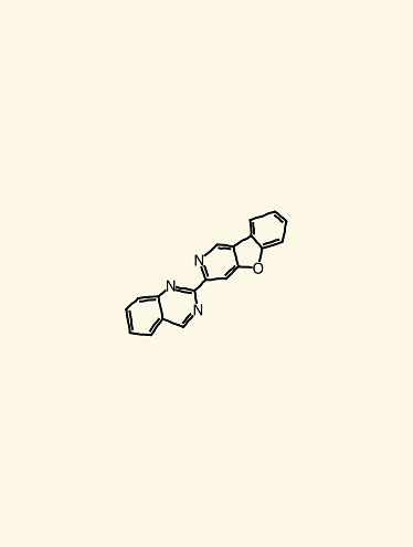 c1ccc2nc(-c3cc4oc5ccccc5c4cn3)ncc2c1